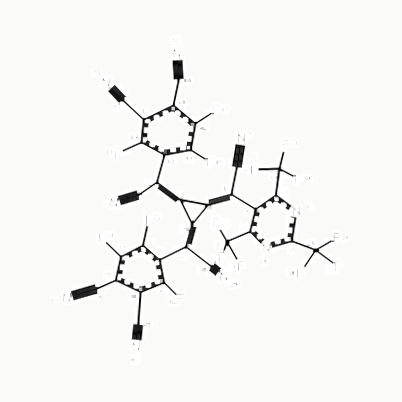 N#CC(=C1C(=C(\C#N)c2c(C(F)(F)F)nc(C(F)(F)F)nc2C(F)(F)F)/C1=C(\C#N)c1c(F)c(F)c(C#N)c(C#N)c1F)c1c(F)c(F)c(C#N)c(C#N)c1F